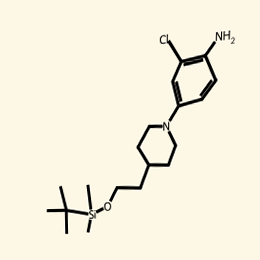 CC(C)(C)[Si](C)(C)OCCC1CCN(c2ccc(N)c(Cl)c2)CC1